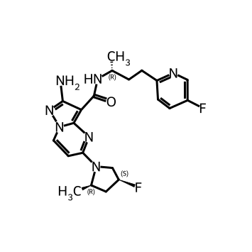 C[C@H](CCc1ccc(F)cn1)NC(=O)c1c(N)nn2ccc(N3C[C@@H](F)C[C@H]3C)nc12